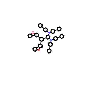 c1ccc(-c2ccc(N(c3ccc(-c4ccccc4)cc3)c3cc(-c4cc(-c5ccc6oc7ccccc7c6c5)cc(-c5ccc6oc7ccccc7c6c5)c4)cc(N(c4ccc(-c5ccccc5)cc4)c4ccc(-c5ccccc5)cc4)c3)cc2)cc1